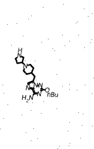 CCCCOc1nc(N)c2ncc(CC3CCN(C4CCNC4)CC3)n2n1